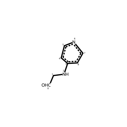 O=CCNc1ccncc1